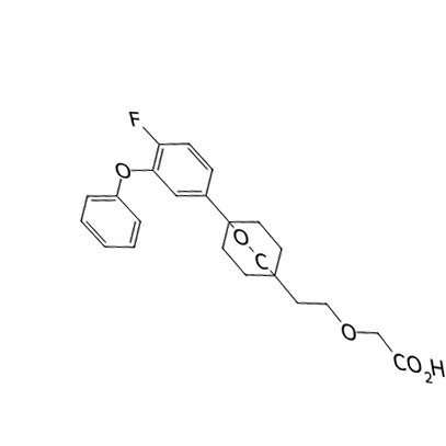 O=C(O)COCCC12CCC(c3ccc(F)c(Oc4ccccc4)c3)(CC1)OC2